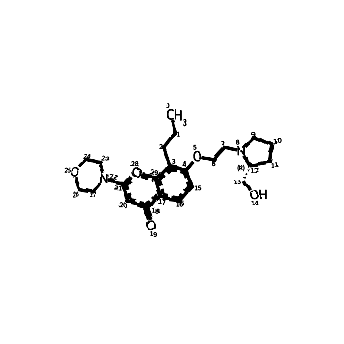 CCCc1c(OCCN2CCC[C@@H]2CO)ccc2c(=O)cc(N3CCOCC3)oc12